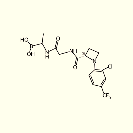 CC(NC(=O)CNC(=O)[C@@H]1CCN1c1ccc(C(F)(F)F)cc1Cl)B(O)O